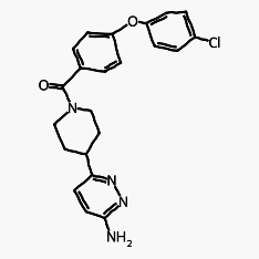 Nc1ccc(C2CCN(C(=O)c3ccc(Oc4ccc(Cl)cc4)cc3)CC2)nn1